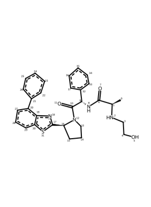 C[C@@H](NCCO)C(=O)N[C@H](C(=O)N1CCC[C@H]1c1nc2c(-c3ccccc3)cccc2s1)c1ccccc1